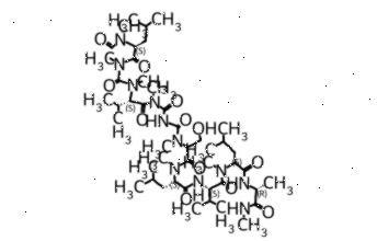 CNC(=O)[C@@H](C)NC(=O)[C@H](CC(C)C)N(C)C(=O)[C@@H](NC(=O)[C@H](CC(C)C)N(C)C(=O)C(CO)N(C)C(=O)NC(=O)N(C)C(=O)[C@H](C(C)C)N(C)C(=O)N(C)C(=O)[C@H](CC(C)C)N(C)C=O)C(C)C